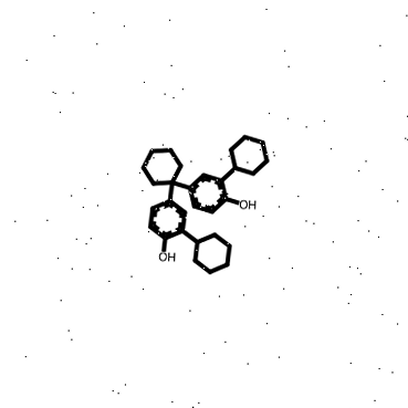 Oc1ccc(C2(c3ccc(O)c(C4CCCCC4)c3)CCCCC2)cc1C1CCCCC1